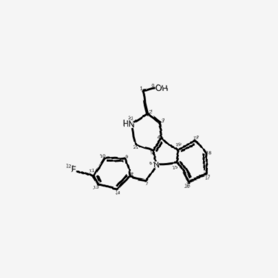 OCC1Cc2c(n(Cc3ccc(F)cc3)c3ccccc23)CN1